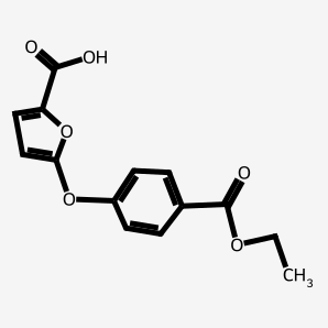 CCOC(=O)c1ccc(Oc2ccc(C(=O)O)o2)cc1